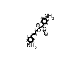 Nc1ccc(C=CCOC(=O)C(O[C]=O)c2ccc(N)cc2)cc1